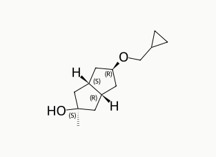 C[C@@]1(O)C[C@H]2C[C@H](OCC3CC3)C[C@H]2C1